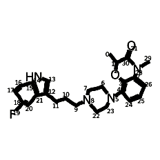 CC1Oc2c(N3CCN(CCCc4c[nH]c5ccc(F)cc45)CC3)cccc2N(C)C1=O